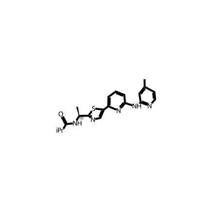 Cc1ccnc(Nc2cccc(-c3cnc([C@H](C)NC(=O)C(C)C)s3)n2)c1